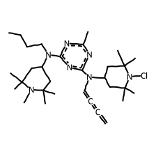 C=C=C=CN(c1nc(C)nc(N(CCCC)C2CC(C)(C)N(C)C(C)(C)C2)n1)C1CC(C)(C)N(Cl)C(C)(C)C1